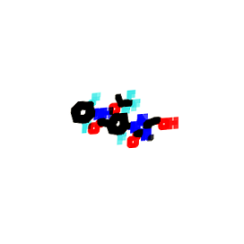 C[C@H](Oc1cc(-n2nc(CO)n(C)c2=O)c(F)cc1C(=O)Nc1c(F)cccc1F)C(F)(F)F